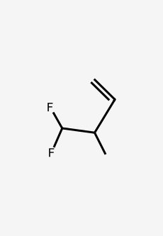 C=CC(C)C(F)F